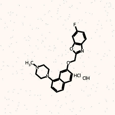 CN1CCN(c2cccc3ccc(OCc4nc5ccc(F)cc5o4)cc23)CC1.Cl.Cl